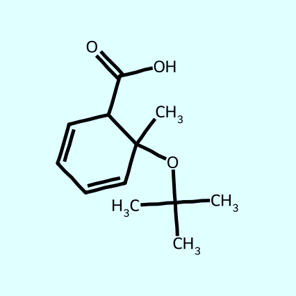 CC(C)(C)OC1(C)C=CC=CC1C(=O)O